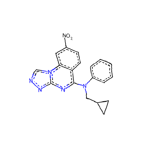 O=[N+]([O-])c1ccc2c(N(CC3CC3)c3ccccc3)nc3nncn3c2c1